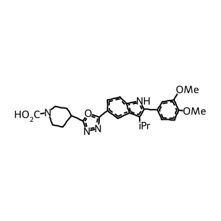 COc1ccc(-c2[nH]c3ccc(-c4nnc(C5CCN(C(=O)O)CC5)o4)cc3c2C(C)C)cc1OC